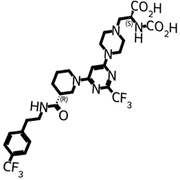 O=C(O)N[C@@H](CN1CCN(c2cc(N3CCC[C@@H](C(=O)NCCc4ccc(C(F)(F)F)cc4)C3)nc(C(F)(F)F)n2)CC1)C(=O)O